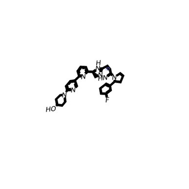 N=C(/C=C\c1ncc(-c2cccc(-c3ccc(N4CCC(O)CC4)nc3)n2)[nH]1)N1CCCC1C1=CCCC(F)=C1